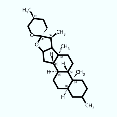 CC1CC[C@@]2(C)[C@H](CC[C@@H]3[C@@H]2CC[C@]2(C)C4C(C[C@@H]32)O[C@]2(CC[C@H](C)CO2)[C@H]4C)C1